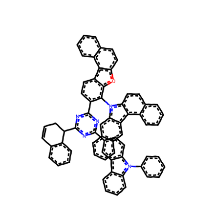 C1=Cc2ccccc2C(c2nc(-c3ccc4c(c3)c3ccccc3n4-c3ccccc3)nc(-c3ccc4c(oc5ccc6ccccc6c54)c3-n3c4cc5ccccc5cc4c4c5ccccc5ccc43)n2)C1